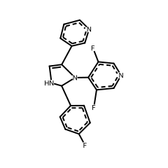 Fc1ccc(C2NC=C(c3cccnc3)N2c2c(F)cncc2F)cc1